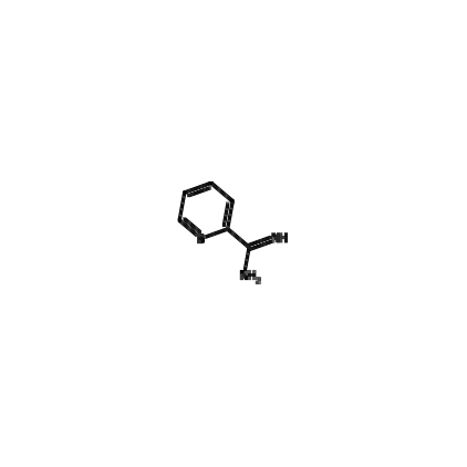 N=C(N)c1bcccc1